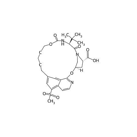 CC(C)(C)[C@@H]1NC(=O)OCCCCCc2cc(S(C)(=O)=O)c3ccnc(c3c2)O[C@@H]2C[C@@H](C(=O)O)N(C2)C1=O